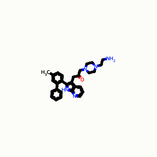 Cc1ccc(-c2[nH]c3ncccc3c2CC(=O)CN2CCN(CCN)CC2)c(-c2ccccc2)c1